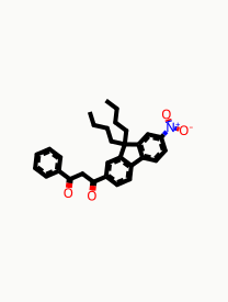 CCCCC1(CCCC)c2cc(C(=O)CC(=O)c3ccccc3)ccc2-c2ccc([N+](=O)[O-])cc21